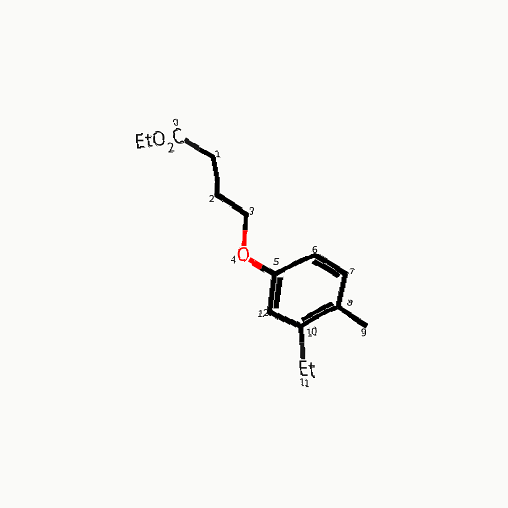 CCOC(=O)CCCOc1ccc(C)c(CC)c1